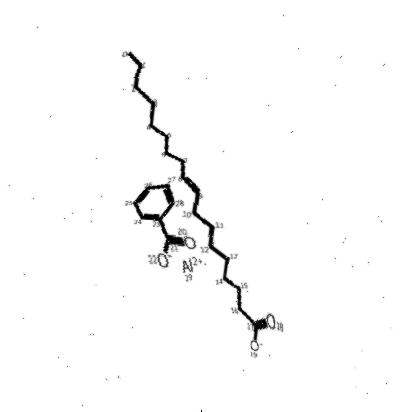 CCCCCCCCC=CCCCCCCCC(=O)[O-].O=C([O-])c1ccccc1.[Al+2]